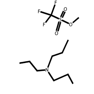 CCCN(CCC)CCC.COS(=O)(=O)C(F)(F)F